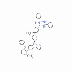 CC1CC=Cc2c1c1cc3c4ccccc4n(-c4ccc(C5(C)C=CC(C(NCc6ccccc6)NC(N)c6ccccc6)=CC5)cc4)c3cc1n2-c1ccccc1